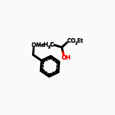 CCOC(=O)C(C)O.COCc1ccccc1